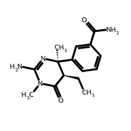 CC[C@H]1C(=O)N(C)C(N)=N[C@@]1(C)c1cccc(C(N)=O)c1